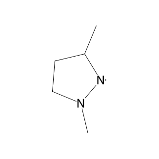 CC1CCN(C)[N]1